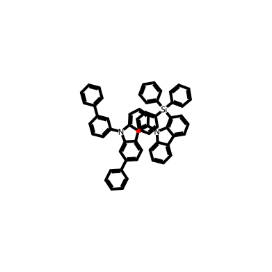 c1ccc(-c2cccc(-n3c4cc(-c5ccccc5)ccc4c4c(-n5c6ccccc6c6cccc([Si](c7ccccc7)(c7ccccc7)c7ccccc7)c65)cccc43)c2)cc1